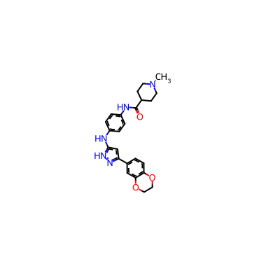 CN1CCC(C(=O)Nc2ccc(Nc3cc(-c4ccc5c(c4)OCCO5)n[nH]3)cc2)CC1